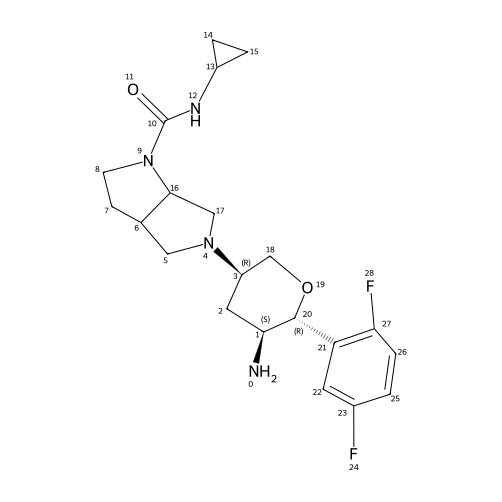 N[C@H]1C[C@@H](N2CC3CCN(C(=O)NC4CC4)C3C2)CO[C@@H]1c1cc(F)ccc1F